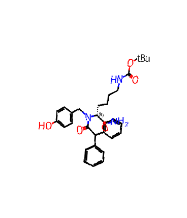 CC(C)(C)OC(=O)NCCCC[C@H](C(N)=O)N(Cc1ccc(O)cc1)C(=O)C(c1ccccc1)c1ccccc1